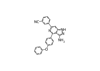 N#Cc1cccc(-c2cc3[nH]nc(N)c3c(-c3ccc(Oc4ccccc4)cc3)n2)c1